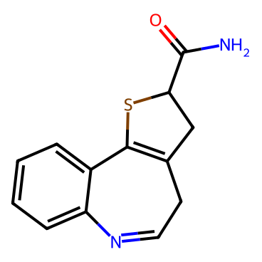 NC(=O)C1CC2=C(S1)c1ccccc1N=CC2